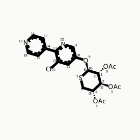 CC(=O)O[C@@H]1[C@@H](OC(C)=O)[C@H](OC(C)=O)CS[C@H]1Oc1cnc(-c2ccncc2)c(Cl)c1